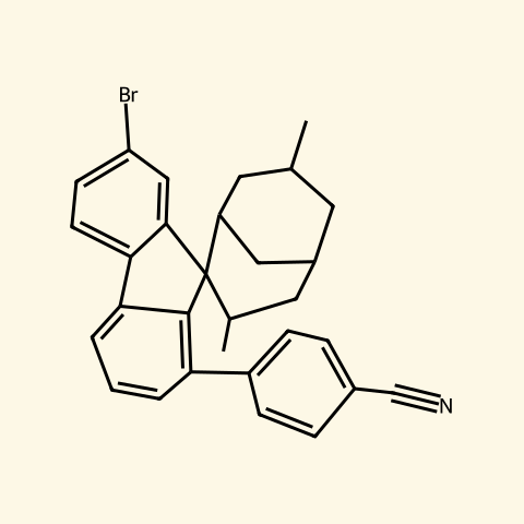 CC1CC2CC(C)C3(c4cc(Br)ccc4-c4cccc(-c5ccc(C#N)cc5)c43)C(C1)C2